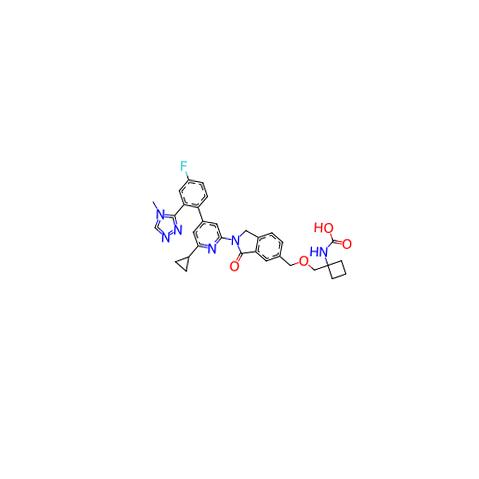 Cn1cnnc1-c1cc(F)ccc1-c1cc(C2CC2)nc(N2Cc3ccc(COCC4(NC(=O)O)CCC4)cc3C2=O)c1